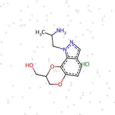 CC(N)Cn1ncc2ccc3c(c21)OC(CO)CO3.Cl